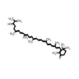 CC1=C(/C=C/C(C)=C/C=C/C(C)=C/C=C/C=C(C)/C=C/C=C(C)/C=C/C=C(\C)CCC(O)C(C)C)C(C)(C)CCC1=O